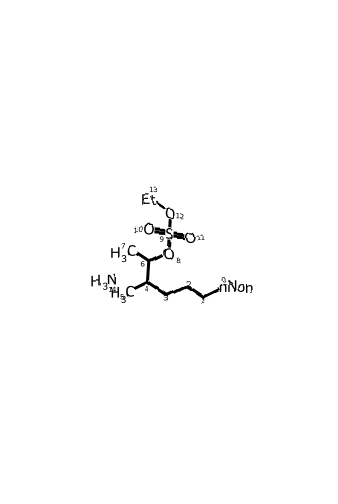 CCCCCCCCCCCCC(C)C(C)OS(=O)(=O)OCC.N